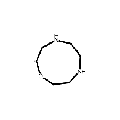 [CH]1CNCCNC[CH]O1